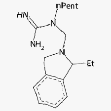 CCCCCN(CN1Cc2ccccc2C1CC)C(=N)N